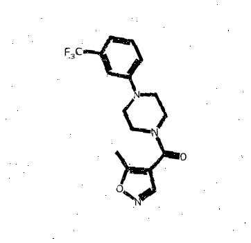 Cc1oncc1C(=O)N1CCN(c2cccc(C(F)(F)F)c2)CC1